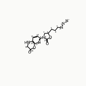 [N-]=[N+]=NCCCC1CN(c2ccc3c(n2)OC(=O)CN3)C(=O)O1